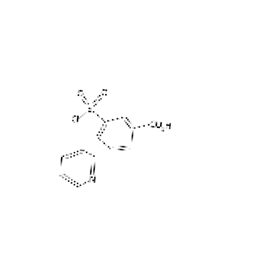 O=C(O)c1cccc(S(=O)(=O)Cl)c1.c1ccncc1